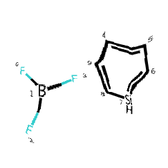 FB(F)F.c1cc[siH]cc1